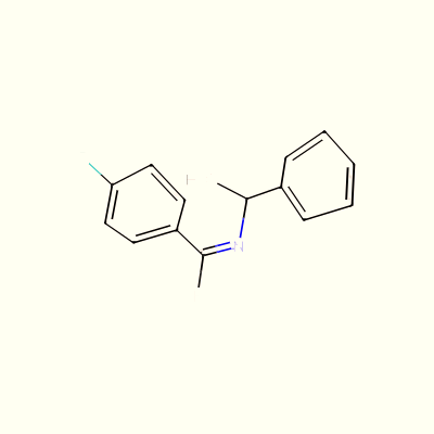 CCC(=NC(C)c1ccccc1)c1ccc(F)cc1